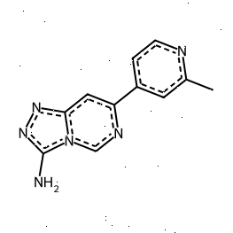 Cc1cc(-c2cc3nnc(N)n3cn2)ccn1